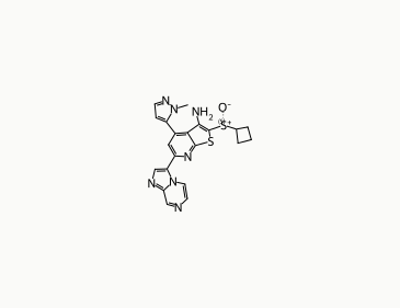 Cn1nccc1-c1cc(-c2cnc3cnccn23)nc2sc([S@+]([O-])C3CCC3)c(N)c12